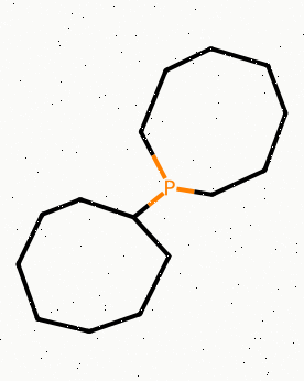 C1CCCC(P2CCCCCCC2)CCC1